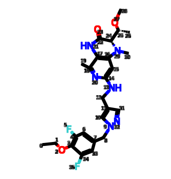 CCOc1c(F)cc(Cn2cc(CNc3cc4c(c(C)n3)NC(=O)[C@H]([C@@H](C)OC)N4C)cn2)cc1F